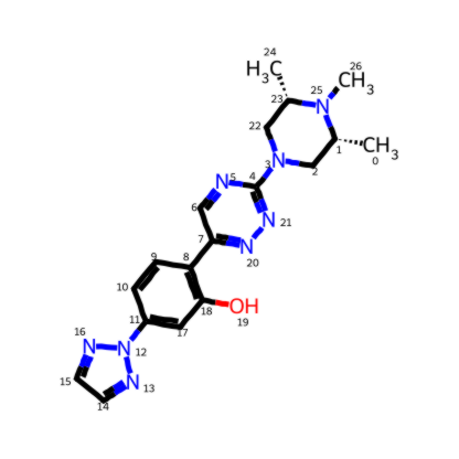 C[C@@H]1CN(c2ncc(-c3ccc(-n4nccn4)cc3O)nn2)C[C@H](C)N1C